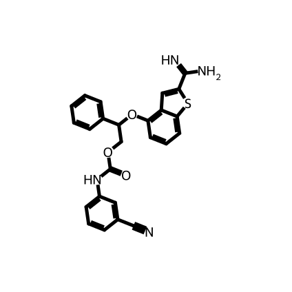 N#Cc1cccc(NC(=O)OCC(Oc2cccc3sc(C(=N)N)cc23)c2ccccc2)c1